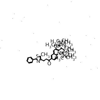 COc1cc2cc(C(=O)CCc3nc(-c4ccccc4)sc3C)ccc2nc1C(CP(=O)(N(C)C)N(C)C)P(=O)(N(C)C)N(C)C